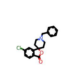 O=C1OC2(CCN(Cc3ccccc3)CC2)c2cc(Cl)ccc21